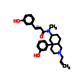 C=CCN1CCC2(c3cccc(O)c3)CC(N(C)C(=O)/C=C/c3cccc(O)c3)CCC2C1